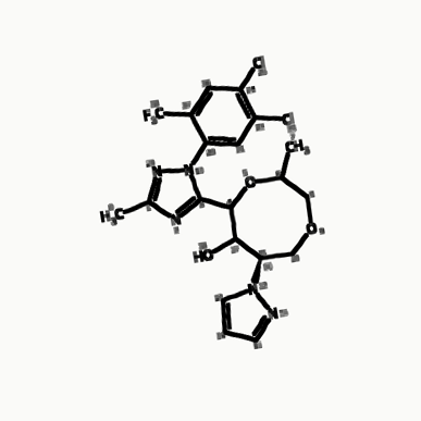 Cc1nc(C2OC(C)COC[C@@H](n3cccn3)C2O)n(-c2cc(Cl)c(Cl)cc2C(F)(F)F)n1